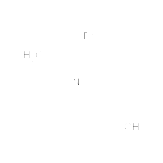 C=C(CCC)N1CCC(O)C1